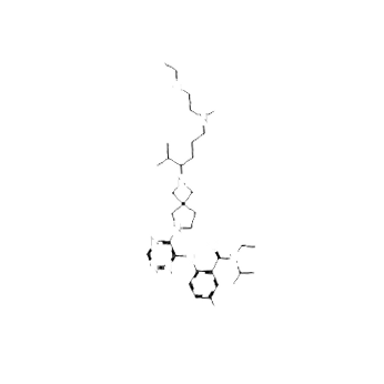 CCOCCN(C)CCCC(C(C)C)N1CC2(CCN(c3ncnnc3Oc3ccc(F)cc3C(=O)N(CC)C(C)C)C2)C1